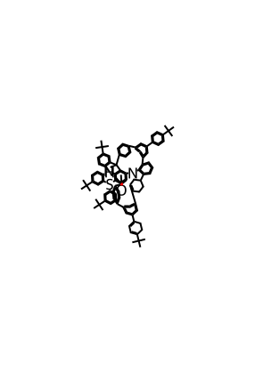 CC(C)(C)C1=CC=C(c2cc3cc(c2)-c2ccc(cc2)C(C)(C)c2c4c5c6c7c2N2c8c(cccc8C8CCC=C3C82)-c2cc(-c3ccc(C(C)(C)C)cc3)cc(c2)-c2ccc(cc2)C7(C)c2cc(C(C)(C)C)ccc2N6c2ccc(C(C)(C)C)cc2[SH]5c2cc(C(C)(C)C)ccc2O4)CC1